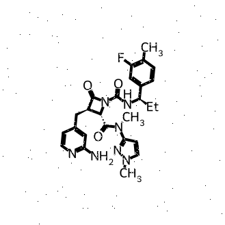 CC[C@@H](NC(=O)N1C(=O)[C@H](Cc2ccnc(N)c2)[C@H]1C(=O)N(C)c1ccn(C)n1)c1ccc(C)c(F)c1